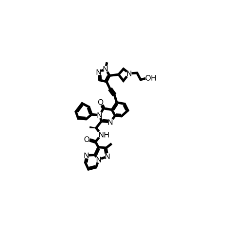 Cc1nn2cccnc2c1C(=O)N[C@@H](C)c1nc2cccc(C#Cc3cnn(C)c3C3CN(CCO)C3)c2c(=O)n1-c1ccccc1